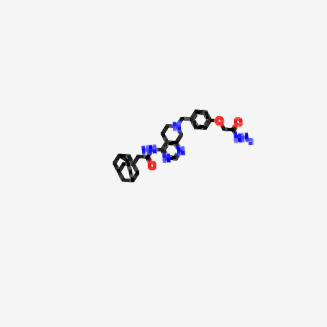 NC(=O)COc1ccc(CN2CCc3c(ncnc3NC(=O)CC34CC5CC(CC(C5)C3)C4)C2)cc1